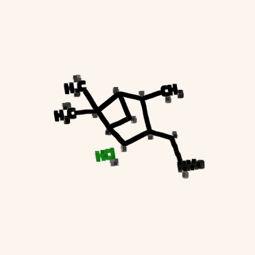 CNCC1CC2CC(C1C)C2(C)C.Cl